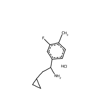 Cc1ccc(C(N)CC2CC2)cc1F.Cl